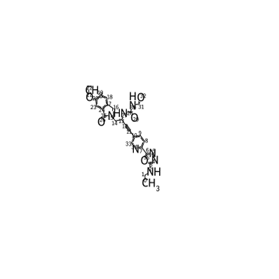 CCNc1nnc(-c2ccc(C#CC(CN3Cc4ccc(OC)cc4C3=O)NC(=O)NC=O)cn2)o1